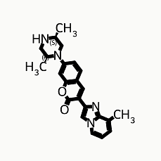 Cc1cccn2cc(-c3cc4ccc(N5C[C@H](C)NC[C@H]5C)cc4oc3=O)nc12